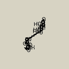 C[C@@H]1C[C@H]2[C@H](C[C@H](O)[C@@]3(F)[C@H]2CCC2=CC(=O)C=C[C@@]23C)[C@@]1(O)C(=O)NCCCCCCCCOc1cccc2c1CN(C1CC3(CC3)C(=O)NC1=O)C2=O